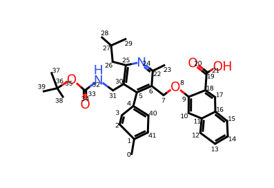 Cc1ccc(-c2c(COc3cc4ccccc4cc3C(=O)O)c(C)nc(CC(C)C)c2CNC(=O)OC(C)(C)C)cc1